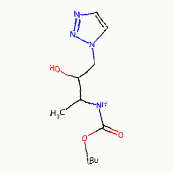 CC(NC(=O)OC(C)(C)C)C(O)Cn1ccnn1